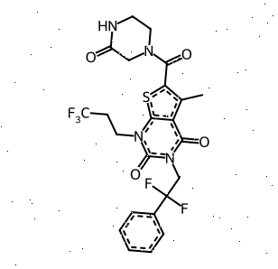 Cc1c(C(=O)N2CCNC(=O)C2)sc2c1c(=O)n(CC(F)(F)c1ccccc1)c(=O)n2CCC(F)(F)F